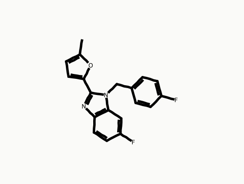 Cc1ccc(-c2nc3ccc(F)cc3n2Cc2ccc(F)cc2)o1